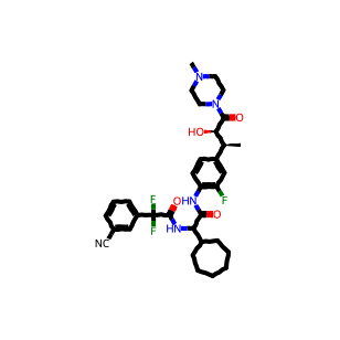 C[C@@H](c1ccc(NC(=O)C(NC(=O)C(F)(F)c2cccc(C#N)c2)C2CCCCCC2)c(F)c1)[C@@H](O)C(=O)N1CCN(C)CC1